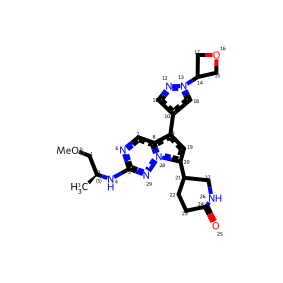 COC[C@H](C)Nc1ncc2c(-c3cnn(C4COC4)c3)cc(C3CCC(=O)NC3)n2n1